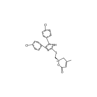 CC1=CC(=O)O[C@@H](CSc2nc(-c3ccc(Cl)cc3)c(-c3ccc(Cl)cc3)[nH]2)C1